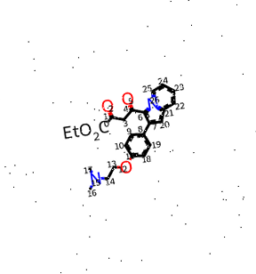 CCOC(=O)C(=O)CC(=O)c1c(-c2ccc(OCCN(C)C)cc2)cc2ccccn12